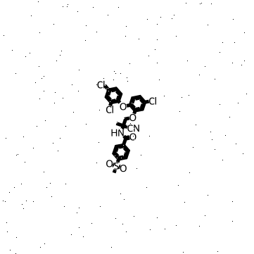 CC(C#N)(COc1cc(Cl)ccc1Oc1ccc(Cl)cc1Cl)NC(=O)c1ccc(S(C)(=O)=O)cc1